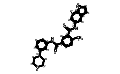 Cc1ccc(C(=O)Nc2cccc(N3CCOCC3)c2)cc1C(=O)Nc1cnc2[nH]ccc2c1